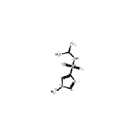 CC(C)NS(=O)(=O)c1cn(C)cn1